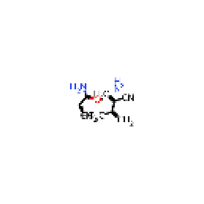 C=C(C#N)C(=C)C(=O)O.C=CC(N)=O.N